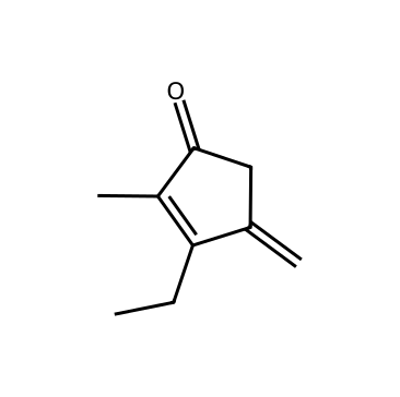 C=C1CC(=O)C(C)=C1CC